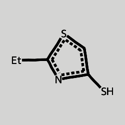 CCc1nc(S)cs1